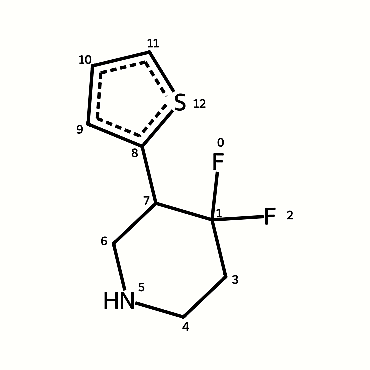 FC1(F)CCNCC1c1cccs1